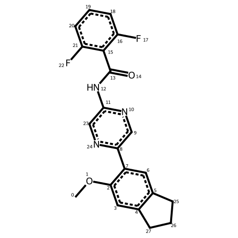 COc1cc2c(cc1-c1cnc(NC(=O)c3c(F)cccc3F)cn1)CCC2